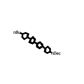 CCCCCCCCCCC1CC=C(c2ccc(-c3ccc(C4=CCC(CCCC)CC4)cc3)cc2)CC1